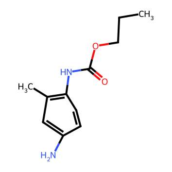 CCCOC(=O)Nc1ccc(N)cc1C